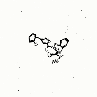 CN(C#N)C(=O)[C@H](Cc1ccccc1F)NC(=O)c1cc(-c2ccccc2Cl)no1